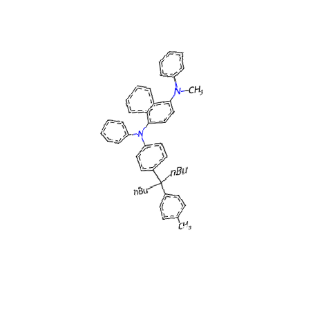 CCCCC(CCCC)(c1ccc(C)cc1)c1ccc(N(c2ccccc2)c2ccc(N(C)c3ccccc3)c3ccccc23)cc1